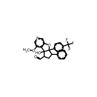 COc1cncc2c1C1(O)C(C=O)CC(c3ccccc3)C1(c1ccc(C(F)(F)F)cc1)O2